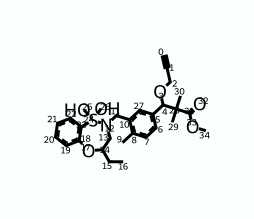 C#CCOC(c1ccc(C)c(CN2CC(CC)Oc3ccccc3S2(O)O)c1)C(C)(C)C(=O)OC